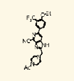 CCOc1ccc(-c2cc3[nH]c(CN4CCN(C(C)=O)CC4)nc3c(C#N)n2)cc1C(F)(F)F